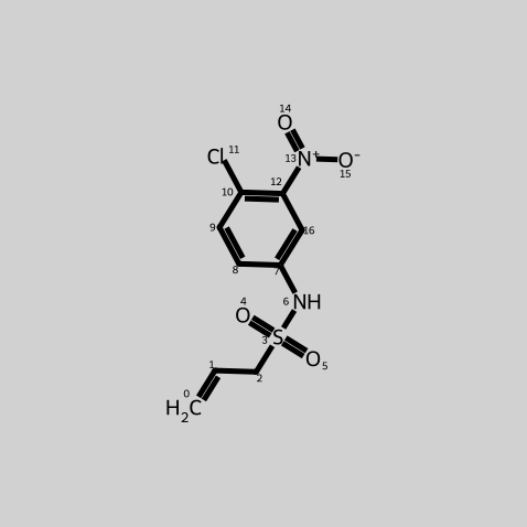 C=CCS(=O)(=O)Nc1ccc(Cl)c([N+](=O)[O-])c1